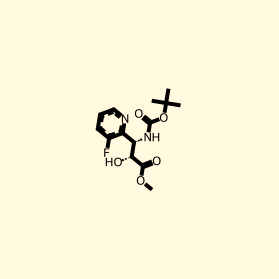 COC(=O)[C@H](O)[C@@H](NC(=O)OC(C)(C)C)c1ncccc1F